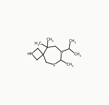 CC(C)N1CC(C)(C)C2(CNC2)CSC1C